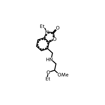 CCOC(CNCc1cccc2c1oc(=O)n2CC)OC